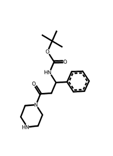 CC(C)(C)OC(=O)NC(CC(=O)N1CCNCC1)c1ccccc1